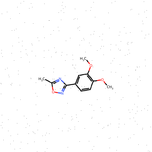 COc1ccc(-c2noc(C)n2)cc1OC